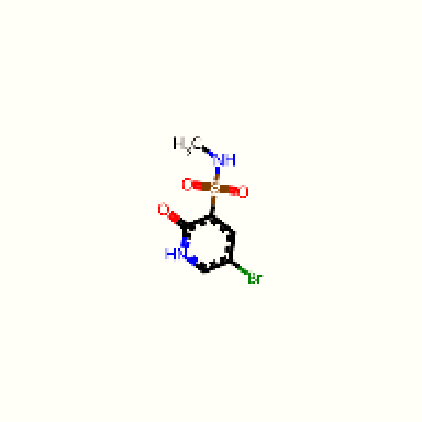 CNS(=O)(=O)c1cc(Br)c[nH]c1=O